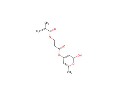 C=C(C)C(=O)OCCC(=O)OC1=CC(O)OC(C)=C1